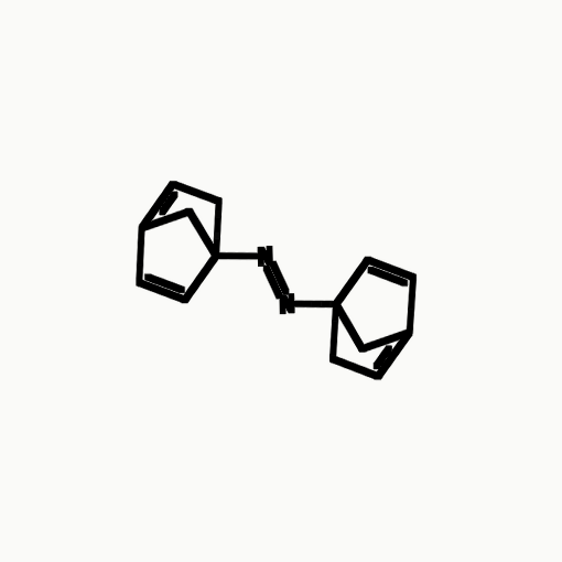 C1=CC2(N=NC34C=CC(=CC3)C4)CC=C1C2